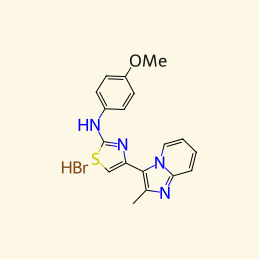 Br.COc1ccc(Nc2nc(-c3c(C)nc4ccccn34)cs2)cc1